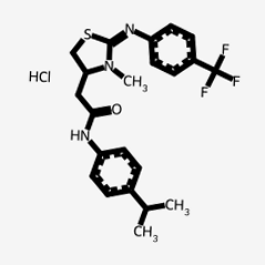 CC(C)c1ccc(NC(=O)CC2CSC(=Nc3ccc(C(F)(F)F)cc3)N2C)cc1.Cl